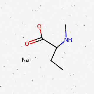 CCC(NC)C(=O)[O-].[Na+]